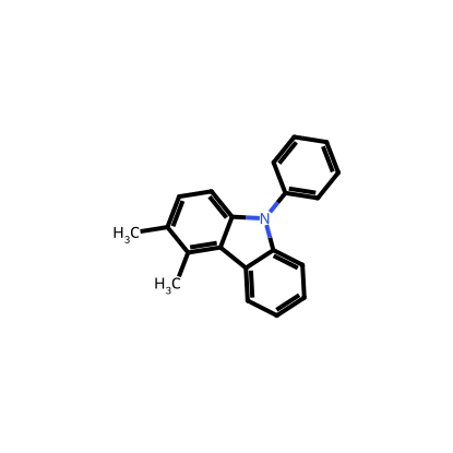 Cc1ccc2c(c1C)c1ccccc1n2-c1ccccc1